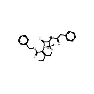 O=C(Cc1ccccc1)NC1C(=O)N2C(C(=O)OCc3ccccc3)=C(CI)CS[C@@H]12